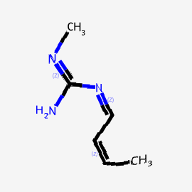 C\C=C/C=N\C(N)=N/C